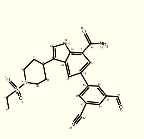 CCS(=O)(=O)N1CCC(c2c[nH]c3c(C(N)=O)cc(-c4cc(C#N)cc(C=O)c4)cc23)CC1